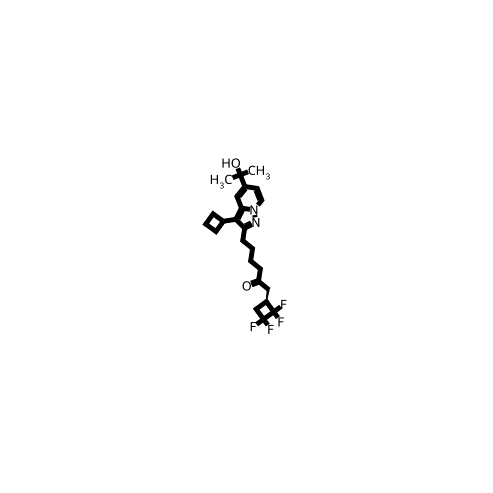 CC(C)(O)c1ccn2nc(CCCCC(=O)C[C@@H]3CC(F)(F)C3(F)F)c(C3CCC3)c2c1